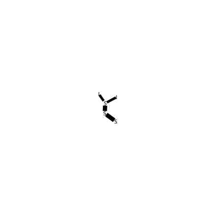 S=S=S(I)I